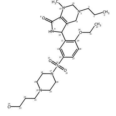 CCCN1CC2=C(C(=O)NC2c2cc(S(=O)(=O)N3CCN(CCCCl)CC3)ccc2OCC)N(C)C1